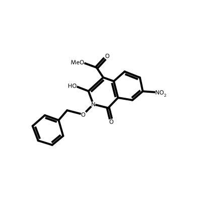 COC(=O)c1c(O)n(OCc2ccccc2)c(=O)c2cc([N+](=O)[O-])ccc12